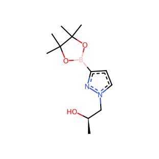 C[C@@H](O)Cn1ccc(B2OC(C)(C)C(C)(C)O2)n1